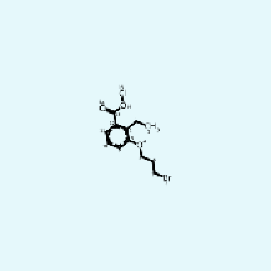 CCc1c(OCCCBr)cccc1C(=O)OCl